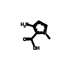 Cn1ccc(N)c1C(=O)O